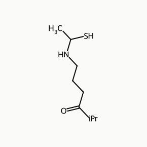 CC(S)NCCCC(=O)C(C)C